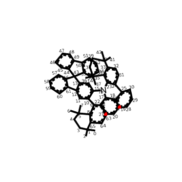 CC1(C)CCC(C)(C)c2c(-c3cc4c(cc3N(c3ccccc3)c3c(-c5ccccc5)ccc5c3C(C)(C)CCC5(C)C)C3(c5ccccc5-c5ccccc53)c3ccccc3-4)cccc21